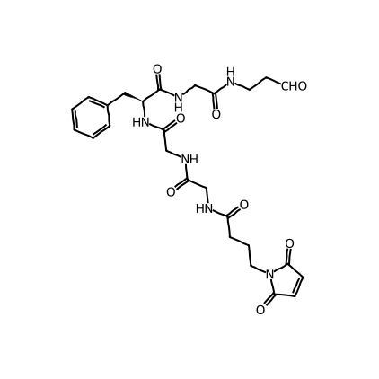 O=CCCNC(=O)CNC(=O)[C@H](Cc1ccccc1)NC(=O)CNC(=O)CNC(=O)CCCN1C(=O)C=CC1=O